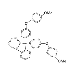 COc1ccc(Oc2ccc(C3(c4ccc(Oc5ccc(OC)cc5)cc4)c4ccccc4-c4ccccc43)cc2)cc1